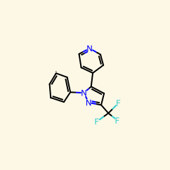 FC(F)(F)c1cc(-c2ccncc2)n(-c2c[c]ccc2)n1